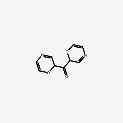 O=C(C1C=NC=CO1)C1C=NC=CO1